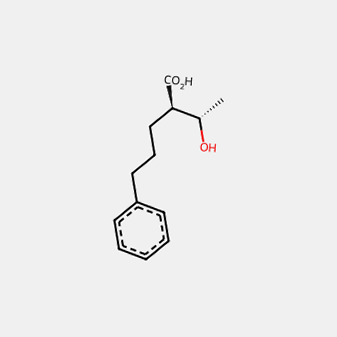 C[C@H](O)[C@@H](CCCc1ccccc1)C(=O)O